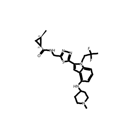 C[C@@H]1C[C@H]1C(=O)NCc1nnc(-c2cc3c(NC4CCN(C)CC4)cccc3n2CC(C)(F)F)s1